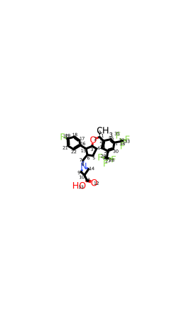 C[C@@H](OC1CCC(CN2CC(C(=O)O)C2)C1c1ccc(F)cc1)c1cc(C(F)(F)F)cc(C(F)(F)F)c1